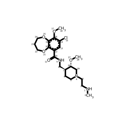 CNCCN1CC[C@@H](CNC(=O)c2cc(Cl)c(OC)c3c2OCCCO3)[C@H](OC)C1